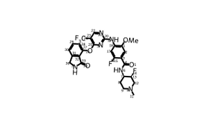 COc1cc(C(=O)N[C@@H]2CCN(C)C[C@@H]2F)c(F)cc1Nc1ncc(C(F)(F)F)c(Oc2cccc3c2C(=O)NC3)n1